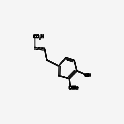 COc1cc(C/C=C/C(=O)O)ccc1O